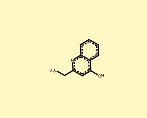 CCc1cc(O)c2ccccc2n1